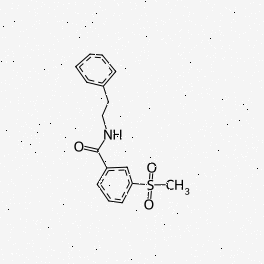 CS(=O)(=O)c1cccc(C(=O)NCCc2ccccc2)c1